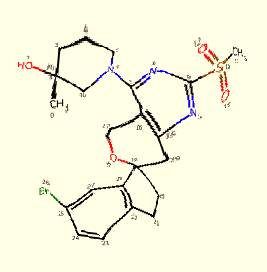 C[C@@]1(O)CCCN(c2nc(S(C)(=O)=O)nc3c2COC2(CCc4ccc(Br)cc42)C3)C1